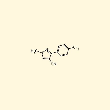 Cn1[c]c(C#N)c(-c2ccc(C(F)(F)F)cc2)n1